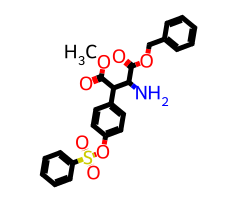 COC(=O)C(c1ccc(OS(=O)(=O)c2ccccc2)cc1)C(N)C(=O)OCc1ccccc1